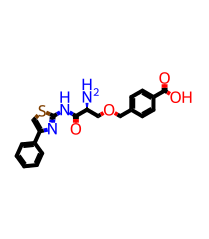 N[C@@H](COCc1ccc(C(=O)O)cc1)C(=O)Nc1nc(-c2ccccc2)cs1